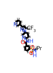 CC(C)NS(=O)(=O)c1cccc(C(=O)Nc2ccc(-n3nc(-c4cccnc4)cc3C(F)(F)F)cn2)c1